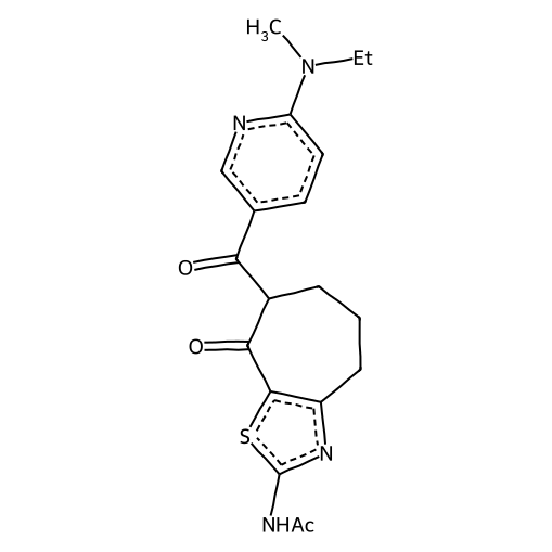 CCN(C)c1ccc(C(=O)C2CCCc3nc(NC(C)=O)sc3C2=O)cn1